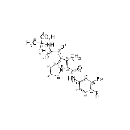 Cc1c(C(=O)C(=O)NC(C)(C)C(=O)O)c2n(c1C(=O)Nc1ccc(F)c(F)c1)CCC2